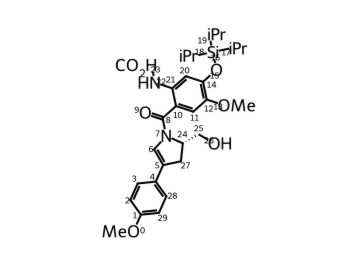 COc1ccc(C2=CN(C(=O)c3cc(OC)c(O[Si](C(C)C)(C(C)C)C(C)C)cc3NC(=O)O)[C@H](CO)C2)cc1